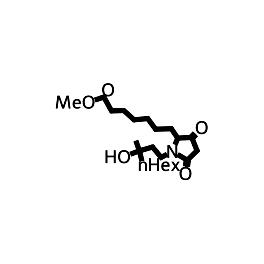 CCCCCCC(C)(O)CCN1C(=O)CC(=O)C1CCCCCCC(=O)OC